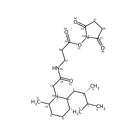 CC(C)[C@@H](C)CC1CCCC(C)N1CC(=O)NCCC(=O)ON1C(=O)CCC1=O